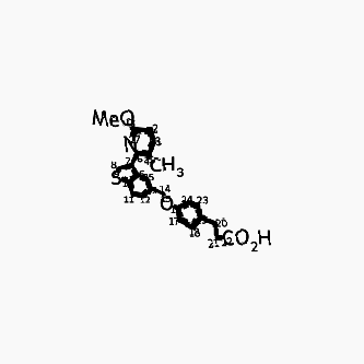 COc1ccc(C)c(-c2csc3ccc(COc4ccc(CCC(=O)O)cc4)cc23)n1